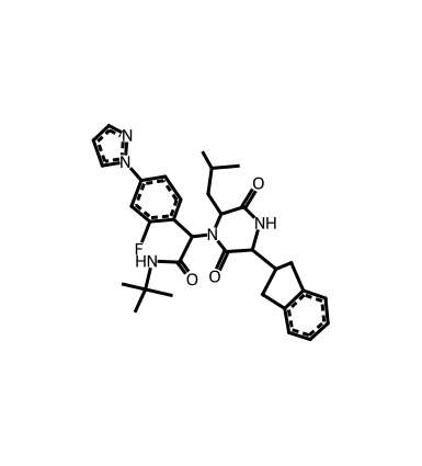 CC(C)CC1C(=O)NC(C2Cc3ccccc3C2)C(=O)N1C(C(=O)NC(C)(C)C)c1ccc(-n2cccn2)cc1F